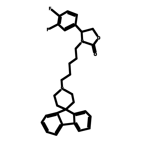 O=C1OCC(c2ccc(F)c(F)c2)N1CCCCCN1CCC2(CC1)c1ccccc1-c1ccccc12